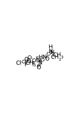 C=C(C)c1n[nH]c2ccc(C(=O)Nc3ccc4c(c3)nc(Cc3c(F)cc(-c5cccc6c5OC(C)(c5ccc(Cl)cc5F)O6)cc3F)n4C[C@@H]3CCO3)cc12